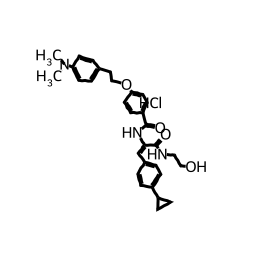 CN(C)c1ccc(CCOc2ccc(C(=O)NC(=Cc3ccc(C4CC4)cc3)C(=O)NCCO)cc2)cc1.Cl